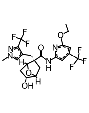 CCOc1cc(C(F)(F)F)cc(NC(=O)[C@@]2(Cc3cn(C)nc3C(F)(F)F)C[C@H]3O[C@@H]2C[C@@H]3O)n1